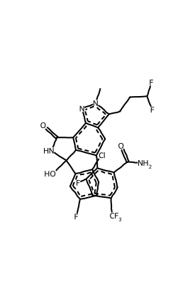 Cn1nc2c3c(c(-c4c(F)cc(C(F)(F)F)cc4C(N)=O)cc2c1CCC(F)F)C(O)(c1cc(F)ccc1Cl)NC3=O